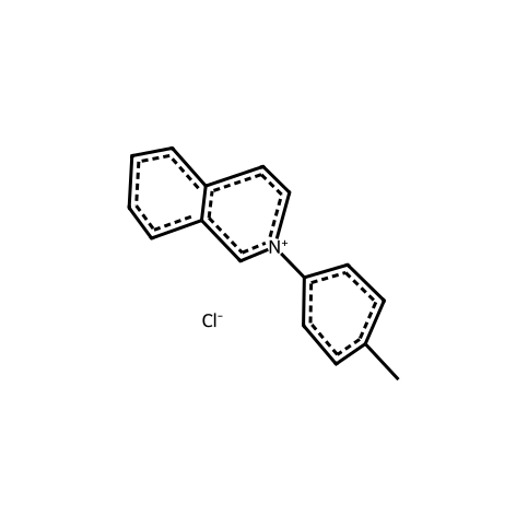 Cc1ccc(-[n+]2ccc3ccccc3c2)cc1.[Cl-]